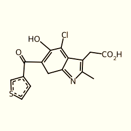 CC1=C(CC(=O)O)C2=C(Cl)C(O)=C(C(=O)c3ccsc3)CC2=N1